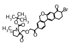 C[C@H]1CC[C@](C=O)(COCC(=O)c2ccc3c(c2)COc2cc4c(cc2-3)CCC(Br)C4=O)N1C(=O)OC(C)(C)C